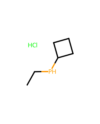 CCPC1CCC1.Cl